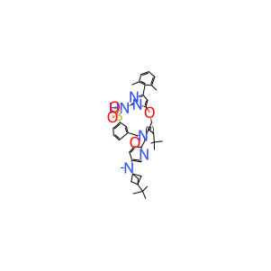 Cc1cccc(C)c1-c1cc2nc(n1)NS(=O)(=O)c1cccc(c1)C(=O)N(Cc1ccc(N(C)C34CC(C(C)(C)C)(C3)C4)cn1)[C@H](CC(C)(C)C)CO2